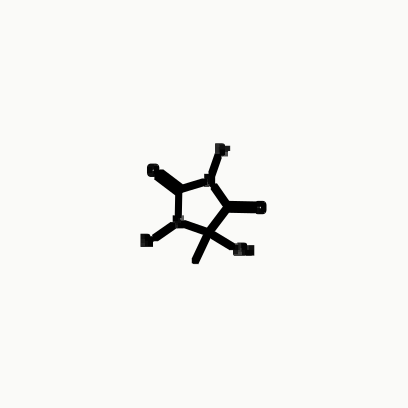 CC(C)(C)C1(C)C(=O)N(Br)C(=O)N1Br